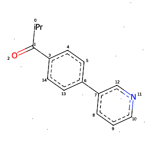 CC(C)C(=O)c1ccc(-c2cccnc2)cc1